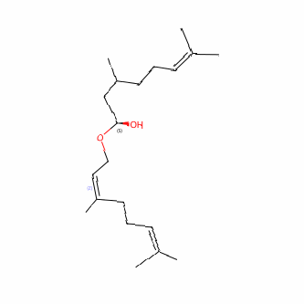 CC(C)=CCC/C(C)=C\CO[C@H](O)CC(C)CCC=C(C)C